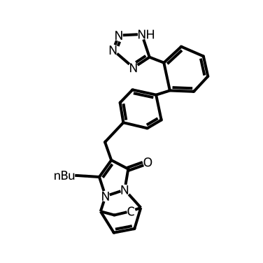 CCCCc1c(Cc2ccc(-c3ccccc3-c3nnn[nH]3)cc2)c(=O)n2n1C1C=CC2CC1